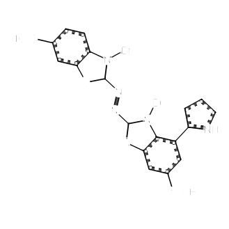 CCN1c2ccc(S(=O)(=O)O)cc2SC1N=NC1Sc2cc(S(=O)(=O)O)cc(-c3ccc[nH]3)c2N1CC